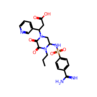 CCCN1C(=O)C(=O)N(C(CC(=O)O)c2cccnc2)CC1NS(=O)(=O)c1ccc(C(=N)N)cc1